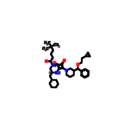 C[Si](C)(C)CCCC(=O)NC[C@H](CC1CCCCC1)Nc1c(N2CCCC(C(OCCC3CC3)c3ccccc3)C2)c(=O)c1=O